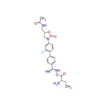 CCC(N)C(=O)ONC(=N)c1ccc(-c2ccc(N3CC(CNC(C)=O)OC3=O)cc2F)cc1